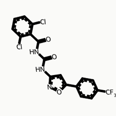 O=C(NC(=O)c1c(Cl)cccc1Cl)Nc1cc(-c2ccc(C(F)(F)F)cc2)on1